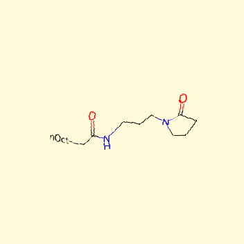 CCCCCCCCCC(=O)NCCCN1CCCC1=O